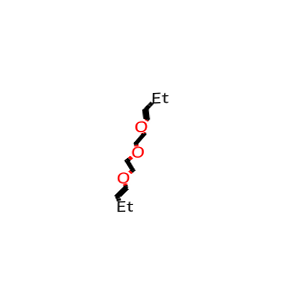 CCC=COCCOCCOC=CCC